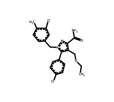 CCOCc1c(C(N)=O)nn(Cc2ccc(C)c(Cl)c2)c1-c1ccc(Cl)cc1